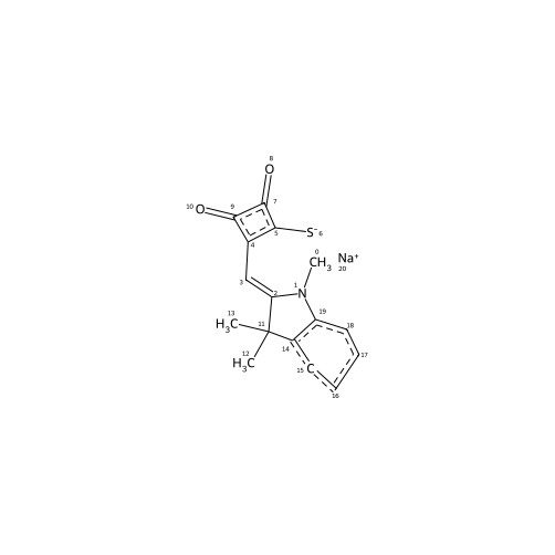 CN1C(=Cc2c([S-])c(=O)c2=O)C(C)(C)c2ccccc21.[Na+]